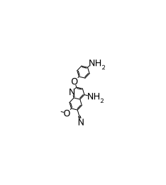 COc1cc2nc(Oc3ccc(N)cc3)cc(N)c2cc1C#N